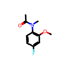 COc1cc(F)ccc1N(C)C(C)=O